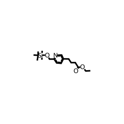 CCOC(=O)CCCc1ccc(CO[Si](C)(C)C(C)(C)C)nc1